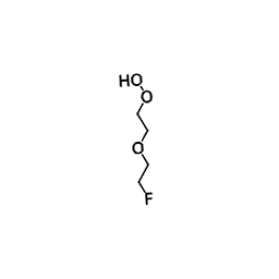 OOCCOCCF